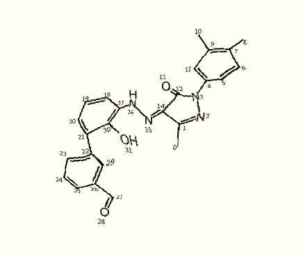 CC1=NN(c2ccc(C)c(C)c2)C(=O)/C1=N\Nc1cccc(-c2cccc(C=O)c2)c1O